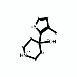 Cc1ccsc1C1(O)CCNCC1